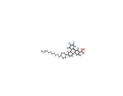 CCCCCCCCCC1CCC(c2ccc(-c3cc(F)c(C(=O)O)c(F)c3-c3cc(F)c(F)c(F)c3)cc2)CC1